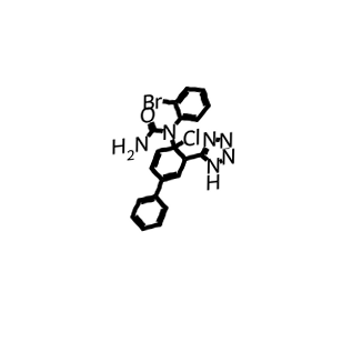 NC(=O)N(c1ccccc1Br)C1(Cl)C=CC(c2ccccc2)=CC1c1nnn[nH]1